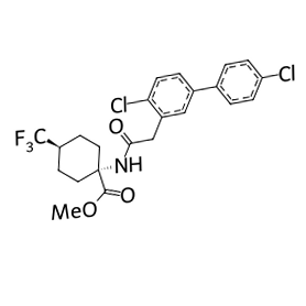 COC(=O)[C@]1(NC(=O)Cc2cc(-c3ccc(Cl)cc3)ccc2Cl)CC[C@H](C(F)(F)F)CC1